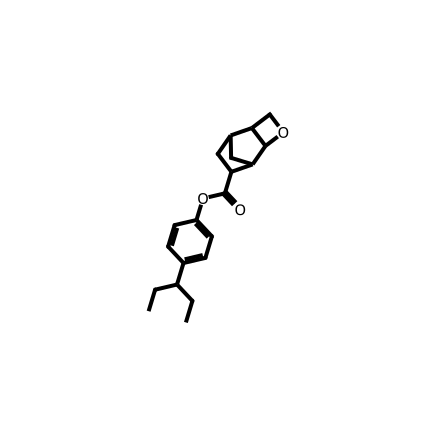 CCC(CC)c1ccc(OC(=O)C2CC3CC2C2OCC32)cc1